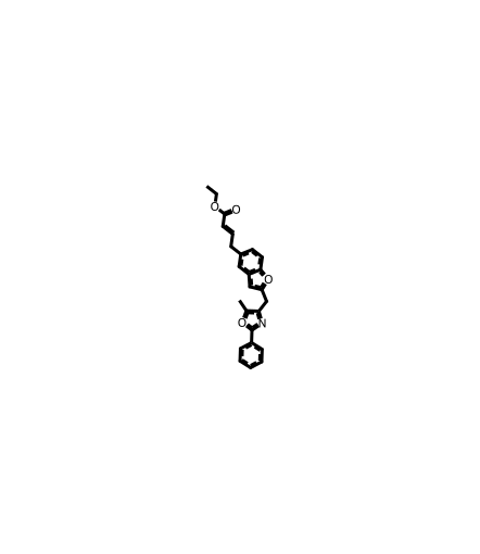 CCOC(=O)C=CCc1ccc2oc(Cc3nc(-c4ccccc4)oc3C)cc2c1